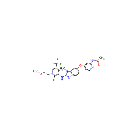 COCCn1cc(C(F)(F)F)cc(Nc2nc3ccc(Oc4ccnc(NC(C)=O)c4)cc3n2C)c1=O